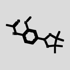 COc1cc(B2OC(C)(C)C(C)(C)O2)ccc1NC(C)=O